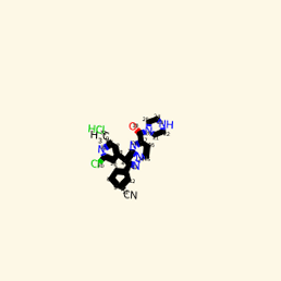 Cc1cc(-c2c(-c3cccc(C#N)c3)nn3ccc(C(=O)N4CCNCC4)nc23)cc(Cl)n1.Cl